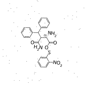 NC(=O)C(C(c1ccccc1)c1ccccc1)[C@H](N)C(=O)OSc1ccccc1[N+](=O)[O-]